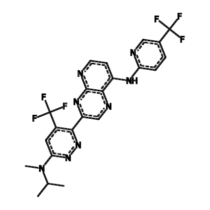 CC(C)N(C)c1cc(C(F)(F)F)c(-c2cnc3c(Nc4ccc(C(F)(F)F)cn4)ccnc3n2)nn1